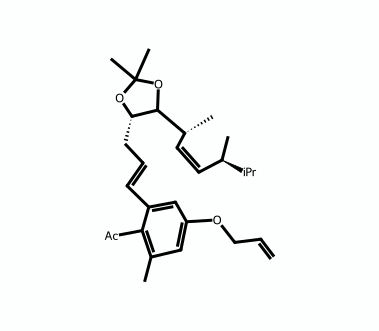 C=CCOc1cc(C)c(C(C)=O)c(/C=C/C[C@@H]2OC(C)(C)OC2[C@H](C)/C=C\[C@@H](C)C(C)C)c1